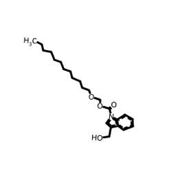 CCCCCCCCCCCCOCOC(=O)n1cc(CO)c2ccccc21